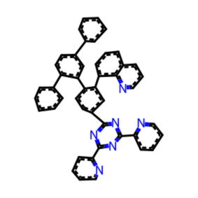 c1ccc(-c2ccc(-c3ccccc3)c(-c3ccc(-c4nc(-c5ccccn5)nc(-c5ccccn5)n4)cc3-c3cccc4cccnc34)c2)cc1